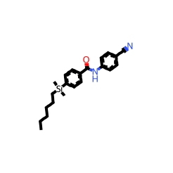 CCCCCC[Si](C)(C)c1ccc(C(=O)Nc2ccc(C#N)cc2)cc1